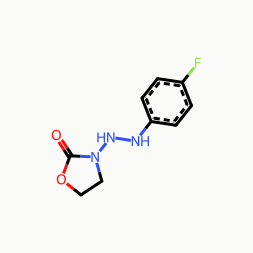 O=C1OCCN1NNc1ccc(F)cc1